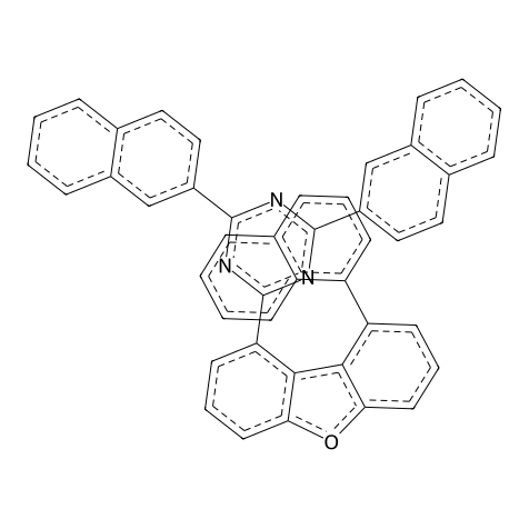 c1ccc2cc(-c3nc(-c4ccc5ccccc5c4)nc(-c4cccc5oc6cccc(-c7cccc8ccccc78)c6c45)n3)ccc2c1